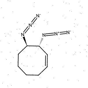 [N-]=[N+]=N[C@@H]1C=CCCCC[C@H]1N=[N+]=[N-]